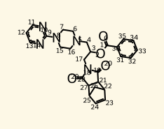 O=C(OC(CN1CCN(c2ncccn2)CC1)CN1C(=O)C2C3C=CC(C3)C2C1=O)c1ccccc1